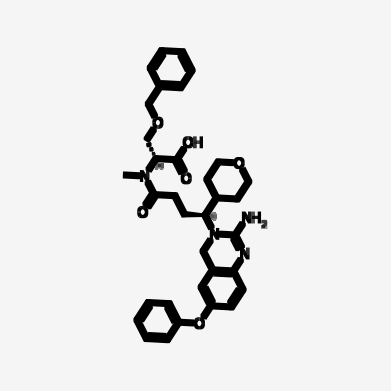 CN(C(=O)CC[C@@H](C1CCOCC1)N1Cc2cc(Oc3ccccc3)ccc2N=C1N)[C@H](COCc1ccccc1)C(=O)O